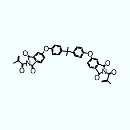 C=C(C)C(=O)N1C(=O)c2ccc(Oc3ccc(C(C)(C)c4ccc(Oc5ccc6c(c5)C(=O)N(C(=O)C(=C)C)C6=O)cc4)cc3)cc2C1=O